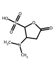 CN(C)C1CC(=O)OC1S(=O)(=O)O